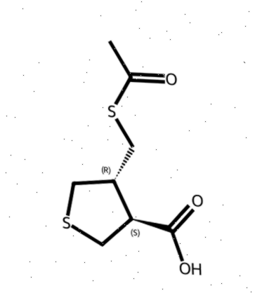 CC(=O)SC[C@H]1CSC[C@@H]1C(=O)O